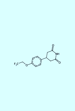 O=C1CC(c2ccc(OCC(F)(F)F)cc2)CC(=O)N1